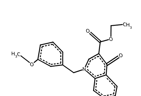 CCOC(=O)c1cn(Cc2cccc(OC)c2)c2ccccc2c1=O